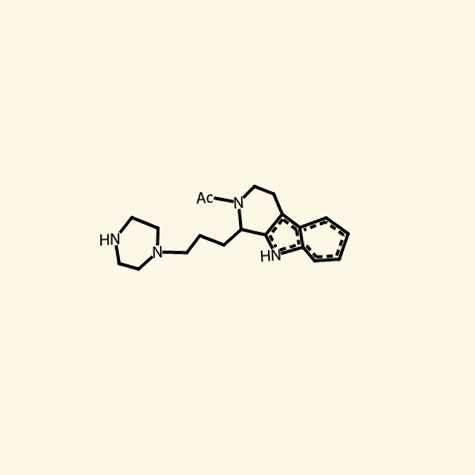 CC(=O)N1CCc2c([nH]c3ccccc23)C1CCCN1CCNCC1